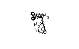 C/C(=C\CC/C(C)=C/CC/C(C)=C/CO[Si](c1ccccc1)(c1ccccc1)C(C)(C)C)CO